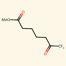 COC(=O)CCCCC(=O)C(F)(F)F